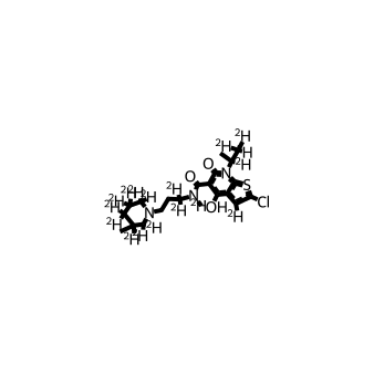 [2H]c1c(Cl)sc2c1c(O)c(C(=O)N([2H])C([2H])([2H])CCN1C([2H])([2H])C([2H])([2H])C([2H])([2H])C([2H])(C)C1([2H])[2H])c(=O)n2C([2H])(C)C([2H])([2H])[2H]